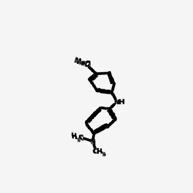 COc1ccc(Nc2ccc(N(C)C)cc2)cc1